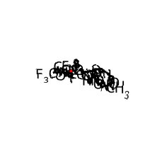 CN(CCCCCC(=O)Oc1ccc(CNCc2ccc(C(=O)N(C)CCN3CCC(OC(=O)Nc4ccccc4-c4ccccc4)CC3)cc2)cc1)C(=O)CO[C@H]1Cc2ccccc2C12CCN(CC[C@@]1(c3ccc(F)cc3)CN(C(=O)c3cc(C(F)(F)F)cc(C(F)(F)F)c3)CO1)CC2